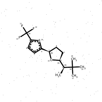 C[C@@H]([C@@H]1CC[C@H](c2ccc(C(F)(F)F)s2)O1)C(C)(C)C